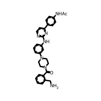 CC(=O)Nc1ccc(-c2ccnc(Nc3cccc(N4CCN(C(=O)c5ccccc5CN)CC4)c3)n2)cc1